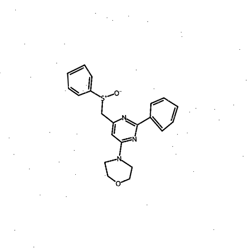 [O-][S+](Cc1cc(N2CCOCC2)nc(-c2ccccc2)n1)c1ccccc1